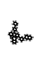 c1ccc(-c2ccc(N(c3ccc(-c4cccc(-c5ccc6ccccc6c5)c4)cc3)c3cccc4oc5c6ccccc6ccc5c34)cc2)cc1